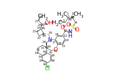 C=C[C@@H](C)[C@@H](C)CS(=O)(=O)NC(=O)c1ccc2c(c1)N(C[C@@H]1CC[C@H]1[C@@H](O)C=C)C[C@@]1(CCCc3cc(Cl)ccc31)CO2